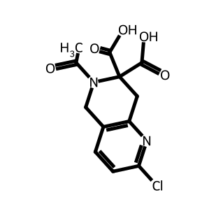 CC(=O)N1Cc2ccc(Cl)nc2CC1(C(=O)O)C(=O)O